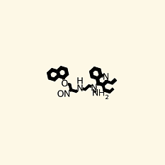 C=Cc1nc2ccccc2c(N(N)CCNCC(COc2cccc3ccccc23)N=O)c1/C=C\C